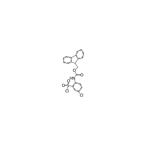 O=C(Nc1ccc(Cl)cc1S(=O)(=O)Cl)OCC1c2ccccc2-c2ccccc21